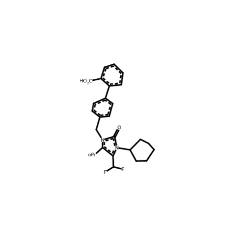 CCCc1c(C(F)F)n(C2CCCCC2)c(=O)n1Cc1ccc(-c2ccccc2C(=O)O)cc1